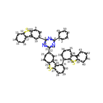 c1ccc(-c2nc(-c3ccc4sc5ccccc5c4c3)nc(-c3ccc4sc5cccc(-c6cccc7c6sc6ccccc67)c5c4c3)n2)cc1